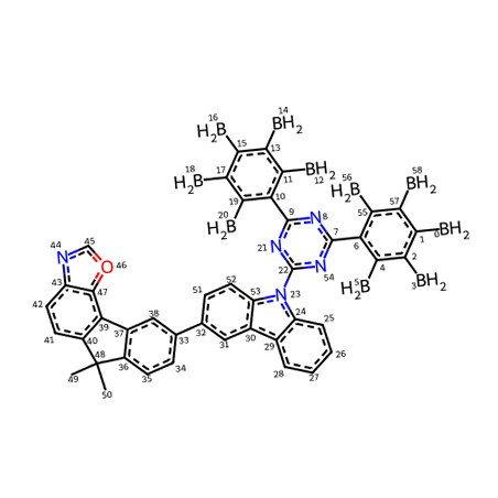 Bc1c(B)c(B)c(-c2nc(-c3c(B)c(B)c(B)c(B)c3B)nc(-n3c4ccccc4c4cc(-c5ccc6c(c5)-c5c(ccc7ncoc57)C6(C)C)ccc43)n2)c(B)c1B